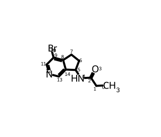 CCC(=O)NC1CCc2c(Br)cncc21